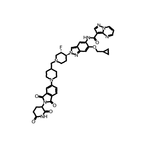 O=C1CCC(N2C(=O)c3ccc(N4CCC(CN5CC[C@H](n6cc7cc(NC(=O)c8cnn9cccnc89)c(OCC8CC8)cc7n6)[C@@H](F)C5)CC4)cc3C2=O)C(=O)N1